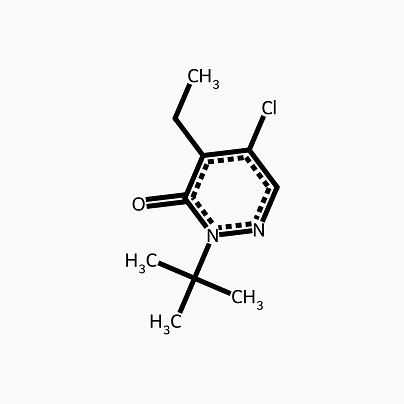 CCc1c(Cl)cnn(C(C)(C)C)c1=O